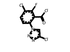 O=C(Cl)c1c(-n2cc(Cl)nn2)ccc(Cl)c1F